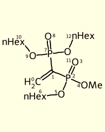 C=C(P(=O)(OC)OCCCCCC)P(=O)(OCCCCCC)OCCCCCC